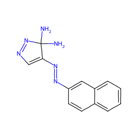 NC1(N)N=NC=C1N=Nc1ccc2ccccc2c1